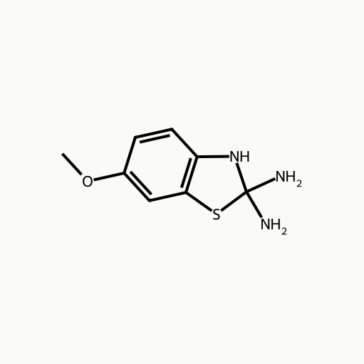 COc1ccc2c(c1)SC(N)(N)N2